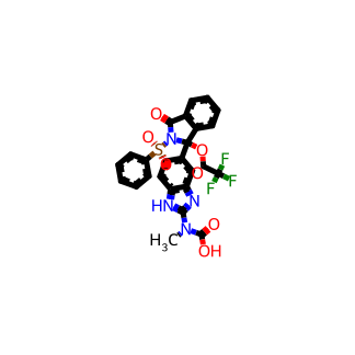 CN(C(=O)O)c1nc2cc(C3(OC(=O)C(F)(F)F)c4ccccc4C(=O)N3S(=O)(=O)c3ccccc3)ccc2[nH]1